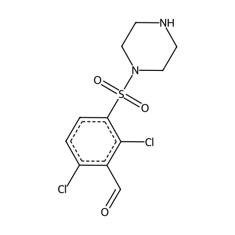 O=Cc1c(Cl)ccc(S(=O)(=O)N2CCNCC2)c1Cl